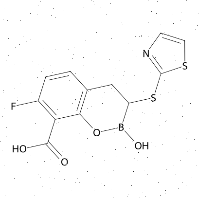 O=C(O)c1c(F)ccc2c1OB(O)C(Sc1nccs1)C2